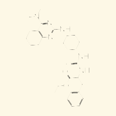 CCOC(=O)C(Cc1ccccc1)NC(=O)N[C@H]1CC[C@@H](Nc2nc3c(c(N(C)C)n2)CCCC3)CC1